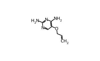 C=CCOc1cnc(N)nc1N